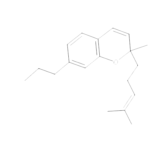 CCCc1ccc2c(c1)OC(C)(CCC=C(C)C)C=C2